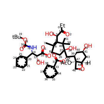 CCC(=O)[C@H](O)C1=C(C)[C@@H](OC(=O)[C@H](O)[C@@H](NC(=O)OC(C)(C)C)c2ccccc2)C[C@@](O)([C@@H](OC(=O)c2ccccc2)[C@H]2C[C@@H](O)C[C@H]3OC[C@@]23OC(C)=O)C1(C)C